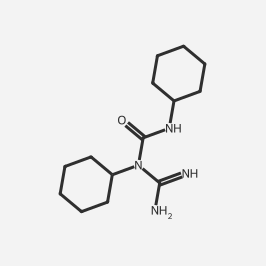 N=C(N)N(C(=O)NC1CCCCC1)C1CCCCC1